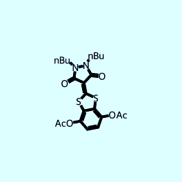 CCCCN1C(=O)C(=C2Sc3c(OC(C)=O)ccc(OC(C)=O)c3S2)C(=O)N1CCCC